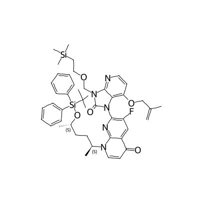 C=C(C)COc1ccnc2c1n(-c1nc3c(cc1F)c(=O)ccn3[C@@H](C)CC[C@H](C)O[Si](c1ccccc1)(c1ccccc1)C(C)(C)C)c(=O)n2COCC[Si](C)(C)C